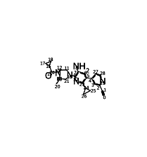 C#Cc1cc(-c2cc(N)c(N3CCN(C(=O)C4CC4)[C@H](C)C3)nc2C2CC2)ccn1